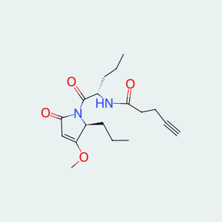 C#CCCC(=O)N[C@@H](CCC)C(=O)N1C(=O)C=C(OC)[C@@H]1CCC